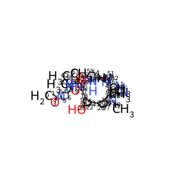 C=CC(=O)N1CCC(C(=O)N(C)C(C(=O)N[C@H]2Cc3cc(O)cc(c3)-c3ccc4c(c3)c(c(-c3cncnc3)n4CC)C(C)(C)c3cnc(n3C3CC3)[C@@H]3CCCN(N3)C2=O)C(C)C)C1